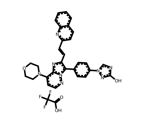 O=C(O)C(F)(F)F.Oc1ncn(-c2ccc(-c3c(/C=C/c4ccc5ccccc5n4)nc4c(N5CCOCC5)ccnn34)cc2)n1